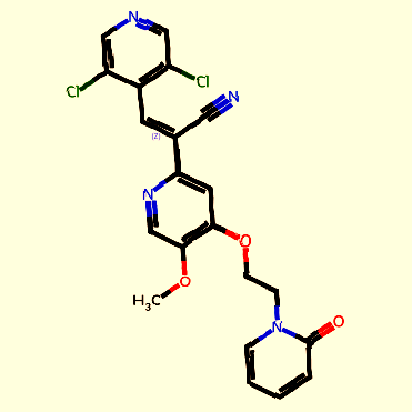 COc1cnc(/C(C#N)=C/c2c(Cl)cncc2Cl)cc1OCCn1ccccc1=O